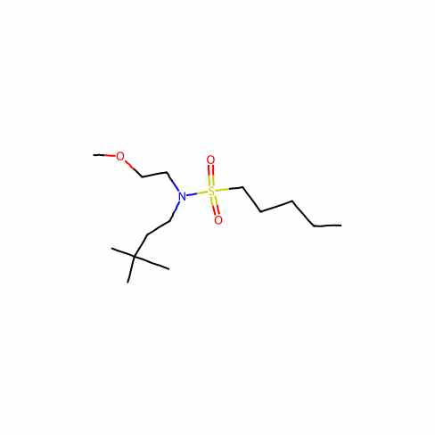 CCCCCS(=O)(=O)N(CCOC)CCC(C)(C)C